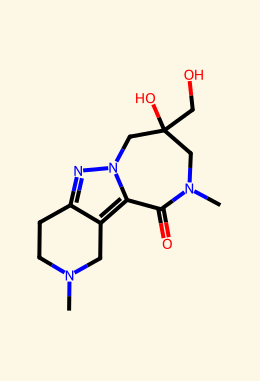 CN1CCc2nn3c(c2C1)C(=O)N(C)CC(O)(CO)C3